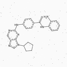 Nc1ccccc1NC(=O)c1ccc(Nc2ncc3ncn(C4CCCC4)c3n2)cc1